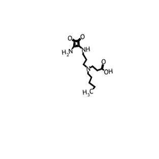 CCCCCN(CCCNc1c(N)c(=O)c1=O)CCC(=O)O